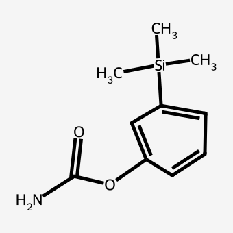 C[Si](C)(C)c1cccc(OC(N)=O)c1